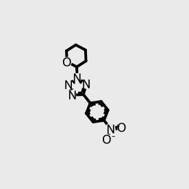 O=[N+]([O-])c1ccc(-c2nnn(C3CCCCO3)n2)cc1